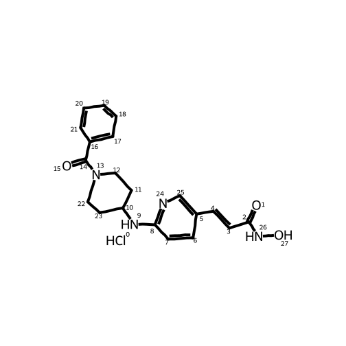 Cl.O=C(/C=C/c1ccc(NC2CCN(C(=O)c3ccccc3)CC2)nc1)NO